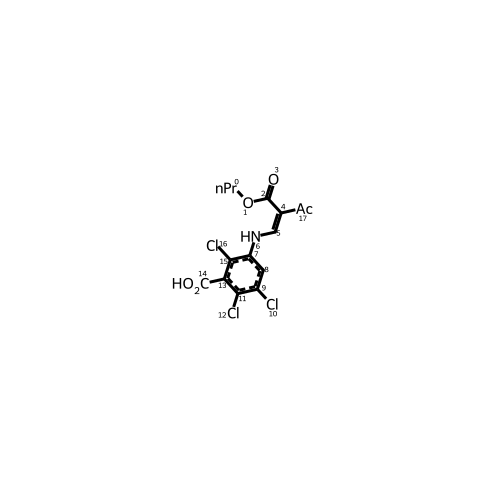 CCCOC(=O)C(=CNc1cc(Cl)c(Cl)c(C(=O)O)c1Cl)C(C)=O